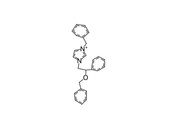 c1ccc(COC(Cn2cc[n+](Cc3ccccc3)c2)c2ccccc2)cc1